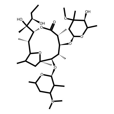 CC[C@@H](O)[C@@](C)(O)[C@@H]1OC(=O)[C@H](C)[C@@H](O[C@H]2CC(C)(OC)[C@@H](O)C(C)O2)[C@H](C)[C@@H](O[C@@H]2OC(C)CC(N(C)C)C2C)[C@@]2(C)CC(C)C(O2)[C@@H]1C